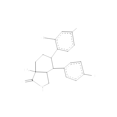 NC12CCC(c3ccc(Cl)cc3Cl)C(c3ccc(Cl)cc3)C1CNC2=O